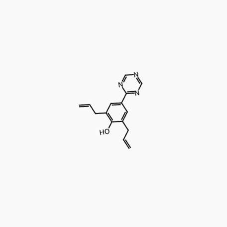 C=CCc1cc(-c2ncncn2)cc(CC=C)c1O